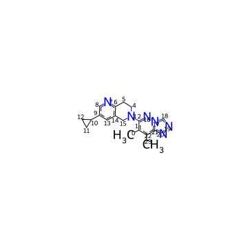 Cc1c(N2CCc3ncc(C4CC4)cc3C2)nn2cnnc2c1C